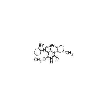 CC1CCC(C(C)C)C(n2cnc3c2c(=O)[nH]c(=O)n3C2CC(C)CCC2C(C)C)C1